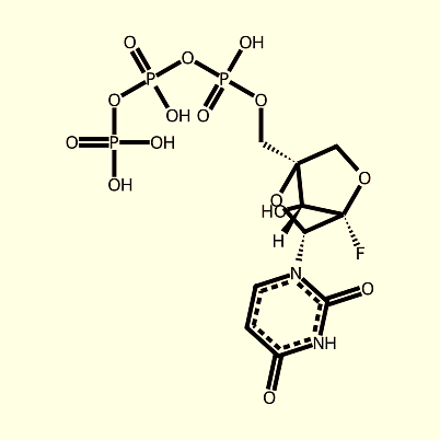 O=c1ccn([C@@H]2O[C@@]3(COP(=O)(O)OP(=O)(O)OP(=O)(O)O)CO[C@]2(F)[C@@H]3O)c(=O)[nH]1